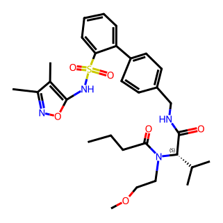 CCCC(=O)N(CCOC)[C@H](C(=O)NCc1ccc(-c2ccccc2S(=O)(=O)Nc2onc(C)c2C)cc1)C(C)C